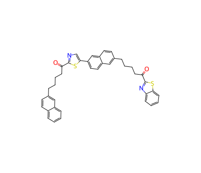 O=C(CCCCc1ccc2ccccc2c1)c1ncc(-c2ccc3cc(CCCCC(=O)c4nc5ccccc5s4)ccc3c2)s1